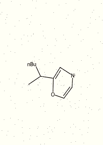 CCCCC(C)C1=C[N]C=CO1